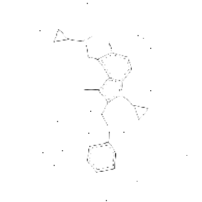 CCOC(=O)c1c(CSc2ccccc2)n(C2CC2)c2ccc(O)c(CN(C)C3CC3)c12